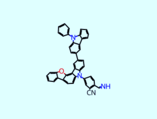 N#Cc1cc(-n2c3ccc(-c4ccc5c(c4)c4ccccc4n5-c4ccccc4)cc3c3c4oc5ccccc5c4ccc32)ccc1C=N